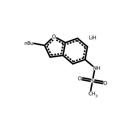 CCCCc1cc2cc(NS(C)(=O)=O)ccc2o1.[LiH]